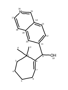 CC1(C)CCCCC=C1C(O)c1ccc2cnccc2c1